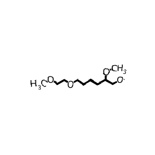 COCCOCCCCC(C[O])OC